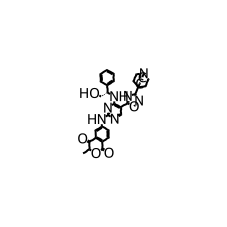 CC1OC(=O)c2ccc(Nc3ncc(-c4nc(C56CCN(CC5)CC6)no4)c(N[C@H](CO)c4ccccc4)n3)cc2C1=O